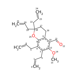 C=CCc1c(CC=C)c2c(c(C=O)c1OC)CCC(CC=C)(CC=C)O2